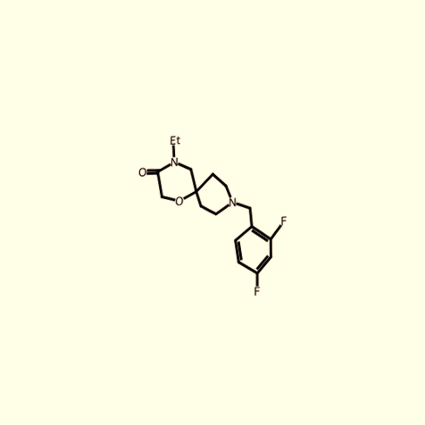 CCN1CC2(CCN(Cc3ccc(F)cc3F)CC2)OCC1=O